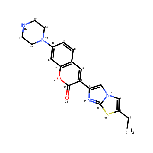 CCc1cn2cc(-c3cc4ccc(N5CCNCC5)cc4oc3=O)nc2s1